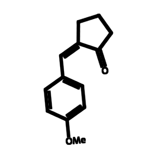 COc1ccc(C=C2CCCC2=O)cc1